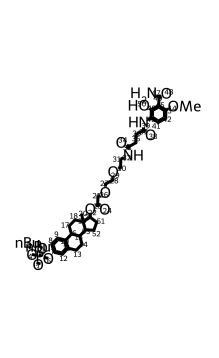 CCCCOP(=O)(OCCCC)Oc1ccc2c(c1)CCC1C2CCC2(C)C(OC(=O)COCCOCCNC(=O)CCC(=O)Nc3ccc(OC)c(C(N)=O)c3O)CCC12